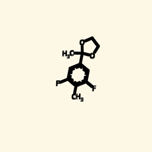 Cc1c(F)cc(C2(C)OCCO2)cc1F